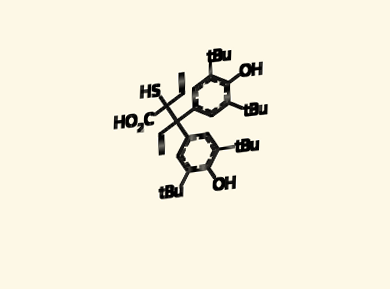 C=CC(S)(C(=O)O)C(C=C)(c1cc(C(C)(C)C)c(O)c(C(C)(C)C)c1)c1cc(C(C)(C)C)c(O)c(C(C)(C)C)c1